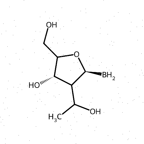 B[C@@H]1OC(CO)[C@@H](O)C1C(C)O